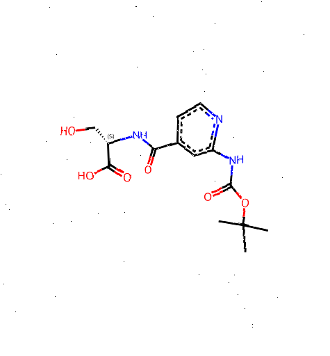 CC(C)(C)OC(=O)Nc1cc(C(=O)N[C@@H](CO)C(=O)O)ccn1